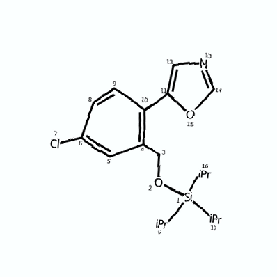 CC(C)[Si](OCc1cc(Cl)ccc1-c1cnco1)(C(C)C)C(C)C